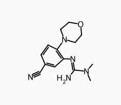 CN(C)/C(N)=N/c1cc(C#N)ccc1N1CCOCC1